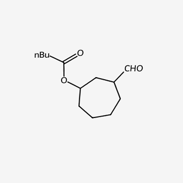 CCCCC(=O)OC1CCCCC(C=O)C1